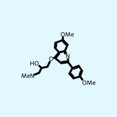 CNCC(O)COc1cc(-c2ccc(OC)cc2)nc2cc(OC)ccc12